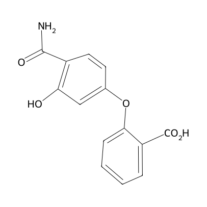 NC(=O)c1ccc(Oc2ccccc2C(=O)O)cc1O